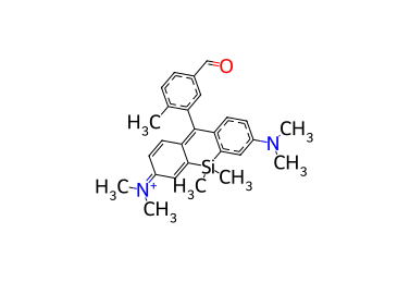 Cc1ccc(C=O)cc1C1=C2C=CC(=[N+](C)C)C=C2[Si](C)(C)c2cc(N(C)C)ccc21